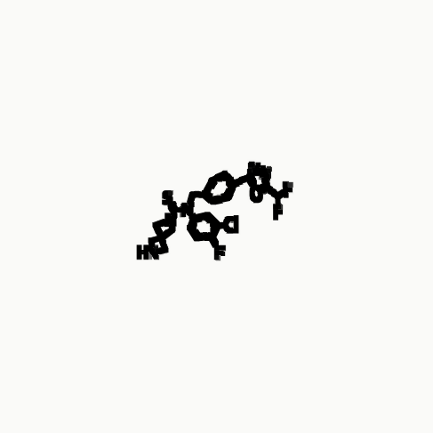 Fc1ccc(N(Cc2ccc(-c3nnc(C(F)F)o3)cc2)C(=S)N2CC3(CNC3)C2)cc1Cl